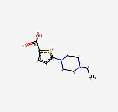 CCN1CCN(c2ccc(C(=O)O)s2)CC1